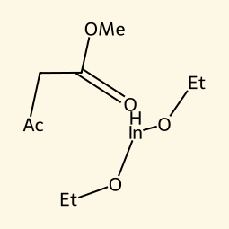 CC[O][InH][O]CC.COC(=O)CC(C)=O